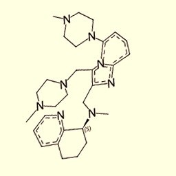 CN1CCN(Cc2c(CN(C)[C@H]3CCCc4cccnc43)nc3cccc(N4CCN(C)CC4)n23)CC1